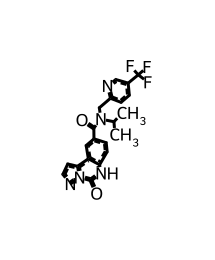 CC(C)N(Cc1ccc(C(F)(F)F)cn1)C(=O)c1ccc2[nH]c(=O)n3nccc3c2c1